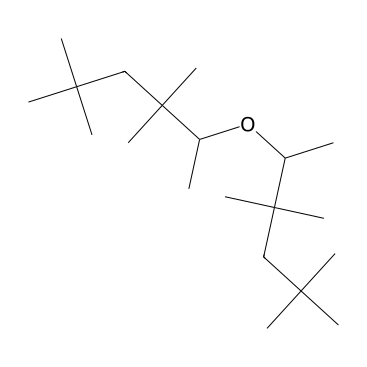 CC(OC(C)C(C)(C)CC(C)(C)C)C(C)(C)CC(C)(C)C